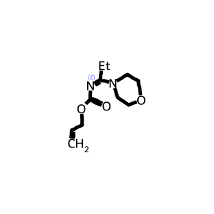 C=CCOC(=O)/N=C(/CC)N1CCOCC1